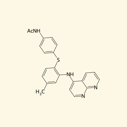 CC(=O)Nc1ccc(Sc2ccc(C)cc2Nc2ccnc3ncccc23)cc1